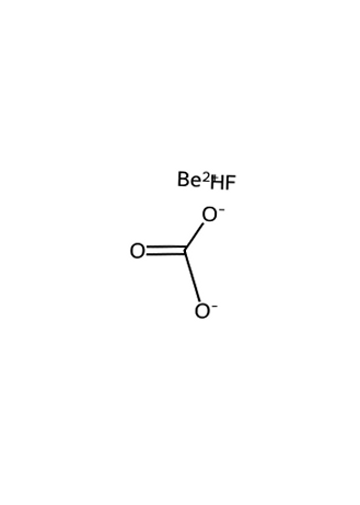 F.O=C([O-])[O-].[Be+2]